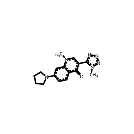 Cn1nnnc1-c1cn(C)c2cc(N3CCCC3)ccc2c1=O